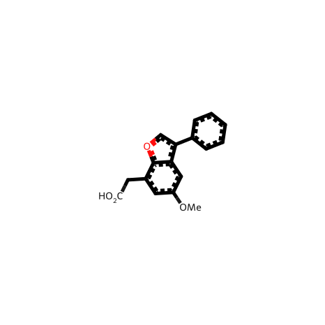 COc1cc(CC(=O)O)c2occ(-c3ccccc3)c2c1